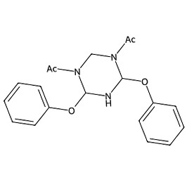 CC(=O)N1CN(C(C)=O)C(Oc2ccccc2)NC1Oc1ccccc1